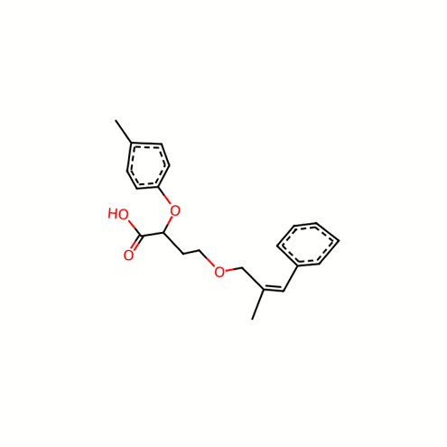 CC(=Cc1ccccc1)COCCC(Oc1ccc(C)cc1)C(=O)O